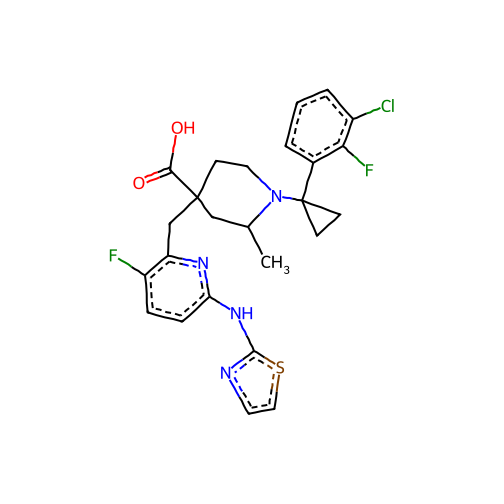 CC1CC(Cc2nc(Nc3nccs3)ccc2F)(C(=O)O)CCN1C1(c2cccc(Cl)c2F)CC1